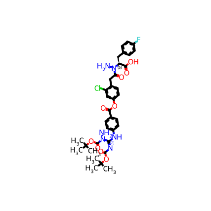 CC(C)(C)OC(=O)/N=C(/Nc1ccc(C(=O)Oc2ccc(CC(=O)N(N)[C@@H](Cc3ccc(F)cc3)C(=O)O)c(Cl)c2)cc1)N(N)C(=O)OC(C)(C)C